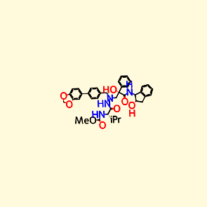 COC(=O)N[C@H](C(=O)NN(Cc1ccc(-c2ccc3c(c2)OCO3)cc1)C[C@](O)(C(=O)N[C@H]1c2ccccc2C[C@H]1O)c1ccccc1)C(C)C